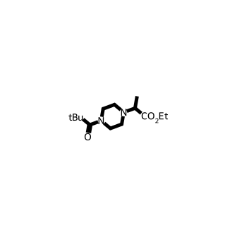 CCOC(=O)C(C)N1CCN(C(=O)C(C)(C)C)CC1